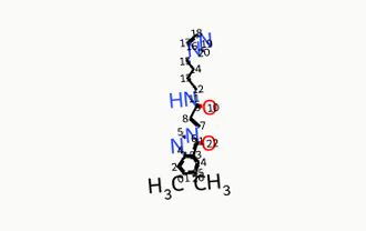 Cc1cc2ncn(/C=C/C(=O)NCCCCn3ccnc3)c(=O)c2cc1C